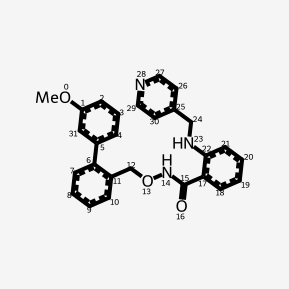 COc1cccc(-c2ccccc2CONC(=O)c2ccccc2NCc2ccncc2)c1